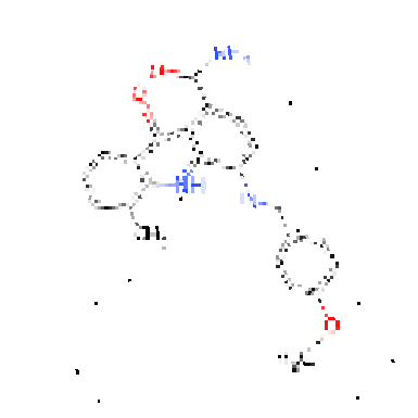 COc1ccc(CNc2ccc(C(N)=O)c3c(=O)c4cccc(C)c4[nH]c23)cc1